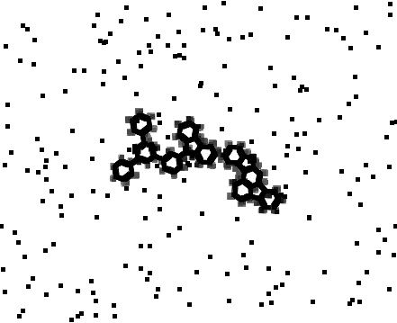 c1ccc(-c2cc(-c3cccc(-n4c5ccccc5c5cc(-c6ccc7sc8cc9c%10c(cccc%10c8c7c6)-c6ccccc6-9)ccc54)c3)nc(-c3ccccc3)n2)cc1